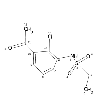 CCS(=O)(=O)Nc1cccc(C(C)=O)c1Cl